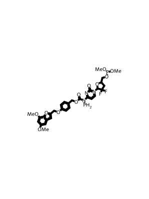 COc1cc(OC)c2oc(COc3ccc(COC(=O)N(P)c4ccn(C5OC(COP(OC)OC)CC5(F)F)c(=O)n4)cc3)cc2c1